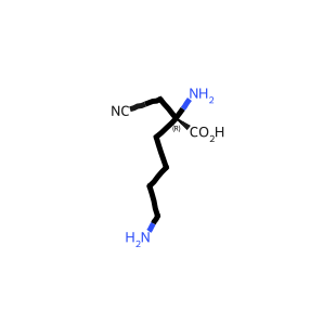 N#CC[C@](N)(CCCCN)C(=O)O